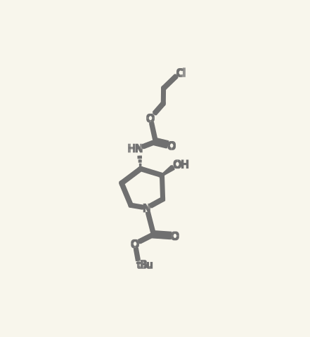 CC(C)(C)OC(=O)N1CC[C@H](NC(=O)OCCCl)[C@@H](O)C1